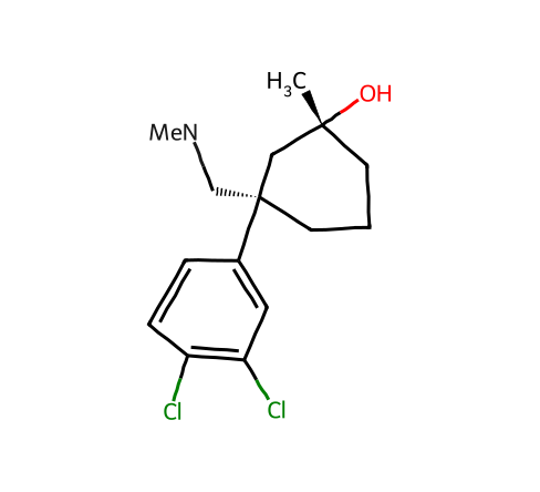 CNC[C@@]1(c2ccc(Cl)c(Cl)c2)CCC[C@@](C)(O)C1